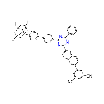 N#Cc1cc(C#N)cc(-c2ccc3cc(-c4nc(-c5ccccc5)nc(-c5ccc(-c6ccc(C78C[C@H]9C[C@@H](C7)C[C@@H](C8)C9)cc6)cc5)n4)ccc3c2)c1